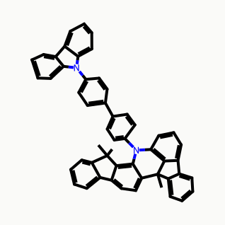 CC1(C)c2ccccc2-c2ccc3c(c21)N(c1ccc(-c2ccc(-n4c5ccccc5c5ccccc54)cc2)cc1)c1cccc2c1C3(C)c1ccccc1-2